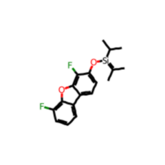 CC(C)=[Si](Oc1ccc2c(oc3c(F)cccc32)c1F)C(C)C